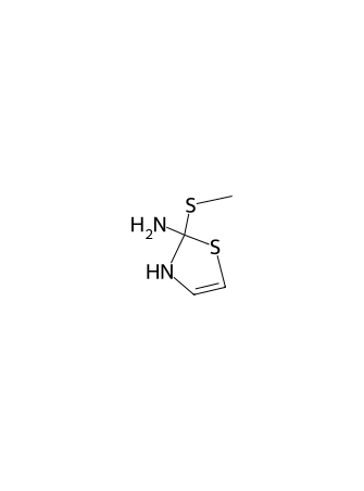 CSC1(N)NC=CS1